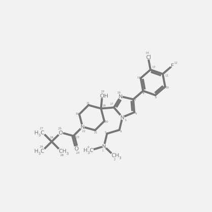 CN(C)CCn1cc(-c2ccc(F)c(Cl)c2)nc1C1(O)CCN(C(=O)OC(C)(C)C)CC1